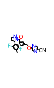 Cc1cc(F)c([C@H]2CC=NN2C(=O)C23CC(COc4cnc(C#N)cn4)C(C2)C3)cc1F